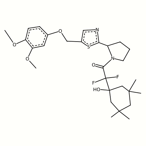 COc1ccc(OCc2cnc(C3CCCN3C(=O)C(F)(F)C3(O)CC(C)(C)CC(C)(C)C3)s2)cc1OC